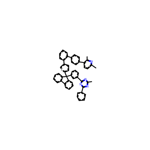 Cc1ccc(-c2ccc(-c3ccccc3-c3ccc(C4(c5cccc(-c6nc(C)nc(-c7ccccc7)n6)c5)c5ccccc5-c5ccccc54)cc3)cc2)c(C)n1